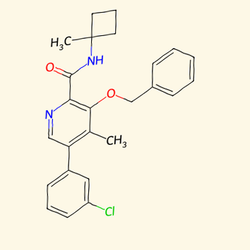 Cc1c(-c2cccc(Cl)c2)cnc(C(=O)NC2(C)CCC2)c1OCc1ccccc1